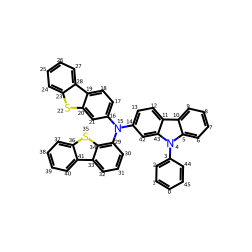 c1ccc(-n2c3ccccc3c3ccc(N(c4ccc5c(c4)sc4ccccc45)c4cccc5c4sc4ccccc45)cc32)cc1